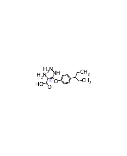 CCC(CC)c1ccc(O/C(NN)=C(/N)C(=O)O)cc1